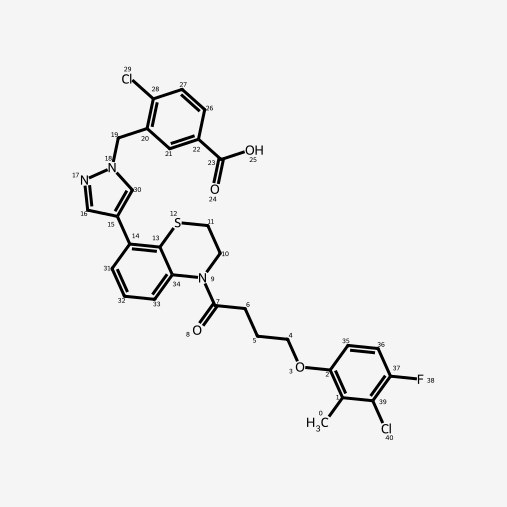 Cc1c(OCCCC(=O)N2CCSc3c(-c4cnn(Cc5cc(C(=O)O)ccc5Cl)c4)cccc32)ccc(F)c1Cl